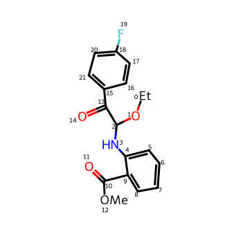 CCOC(Nc1ccccc1C(=O)OC)C(=O)c1ccc(F)cc1